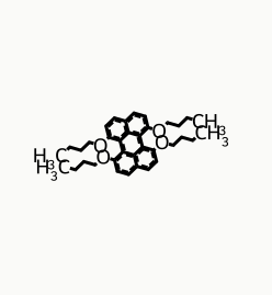 CCCCOc1ccc2ccc(OCCCC)c3c4c(OCCCC)ccc5ccc(OCCCC)c(c1c23)c54